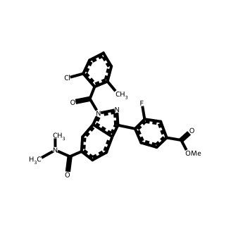 COC(=O)c1ccc(-c2nn(C(=O)c3c(C)cccc3Cl)c3cc(C(=O)N(C)C)ccc23)c(F)c1